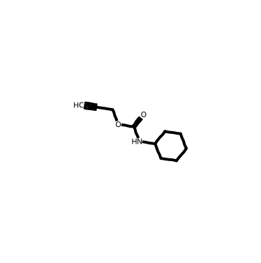 C#CCOC(=O)NC1CCCCC1